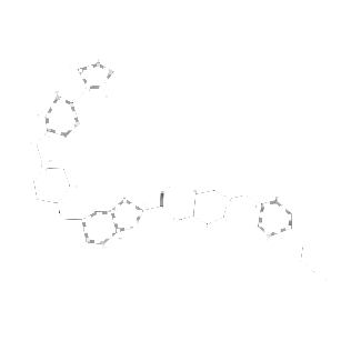 O=C(NC1CCN(Cc2ccc(OCF)cc2)CC1)c1cc2cc(O[C@@H]3CCN(Cc4ccc(-n5cccn5)cc4)C[C@H]3F)ccc2o1